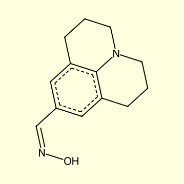 O/N=C\c1cc2c3c(c1)CCCN3CCC2